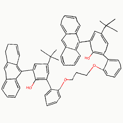 CC(C)(C)c1cc(-c2ccccc2OCCCOc2ccccc2-c2cc(C(C)(C)C)cc(-c3c4ccccc4cc4ccccc34)c2O)c(O)c(-c2c3c(cc4ccccc24)CCC=C3)c1